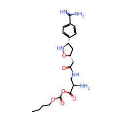 CCCCOC(=O)OC(=O)C(N)CNC(=O)C[C@H]1C[C@@H](c2ccc(C(=N)N)cc2)NO1